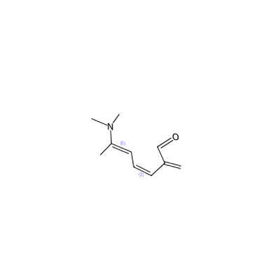 C=C(C=O)/C=C\C=C(/C)N(C)C